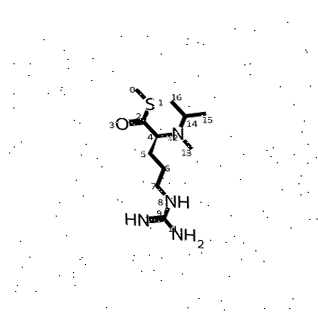 CSC(=O)[C@H](CCCNC(=N)N)N(C)C(C)C